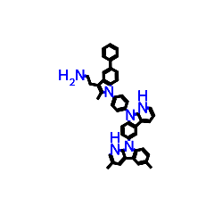 CC1=CNC2C(=C1)c1cc(C)ccc1N2c1ccc2c(c1)C1=CC=CNC1N2c1ccc(-n2c(C)c(CCN)c3cc(-c4ccccc4)ccc32)cc1